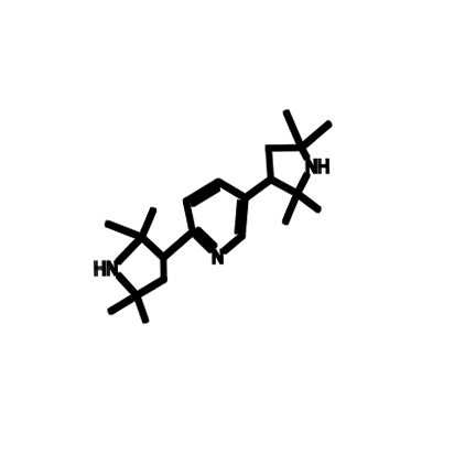 CC1(C)CC(c2ccc(C3CC(C)(C)NC3(C)C)nc2)C(C)(C)N1